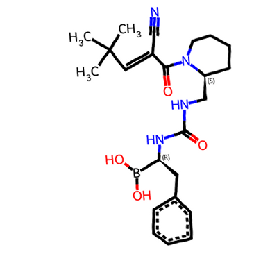 CC(C)(C)C=C(C#N)C(=O)N1CCCC[C@H]1CNC(=O)N[C@@H](Cc1ccccc1)B(O)O